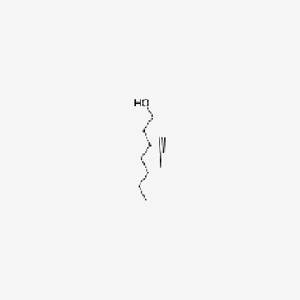 C#CC.CCCCCCCO